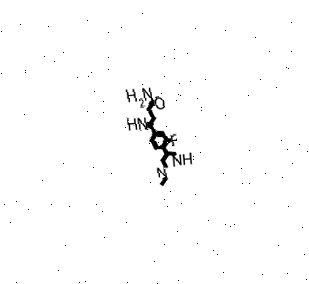 CC=NC/C=C(\C=N)c1ccc(C(=N)CCC(N)=O)cc1F